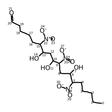 CCCCCC(C(O)CC(C(O)CC(O)C(CCCCC=O)[N+](=O)[O-])[N+](=O)[O-])[N+](=O)[O-]